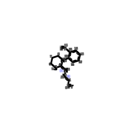 CC(C)/C=N/N=C1\SCCCN1c1ccccc1C(C)C